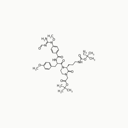 COc1ccc(CC(NC(=O)c2ccc(N(OC)C(N)=NC=O)cc2)C(=O)N2CCN(CC(=O)OC(C)(C)C)C(=O)[C@@H]2CCCNC(=O)OC(C)(C)C)cc1